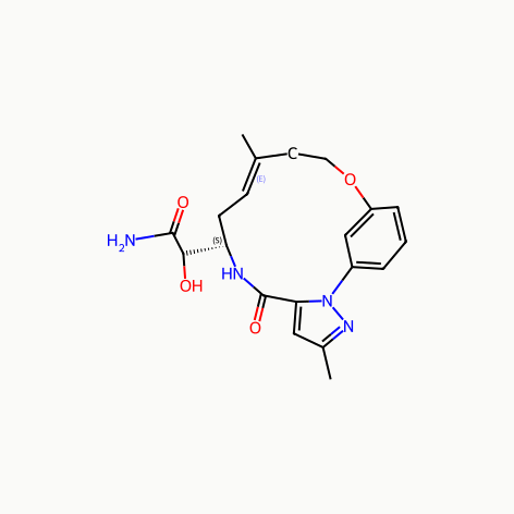 C/C1=C\C[C@@H](C(O)C(N)=O)NC(=O)c2cc(C)nn2-c2cccc(c2)OCC1